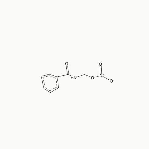 O=C(NCO[N+](=O)[O-])c1ccccc1